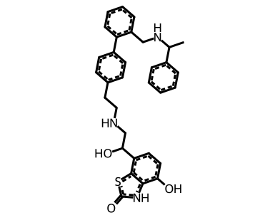 CC(NCc1ccccc1-c1ccc(CCNCC(O)c2ccc(O)c3[nH]c(=O)sc23)cc1)c1ccccc1